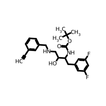 C#Cc1cccc(CNCC(O)C(Cc2cc(F)cc(F)c2)NC(=O)OC(C)(C)C)c1